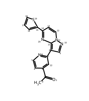 CC(=O)c1ccnc(-c2cnn3ccc(-c4cccs4)nc23)c1